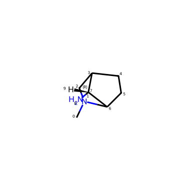 CN1CC2CCC1[C@@H]2N